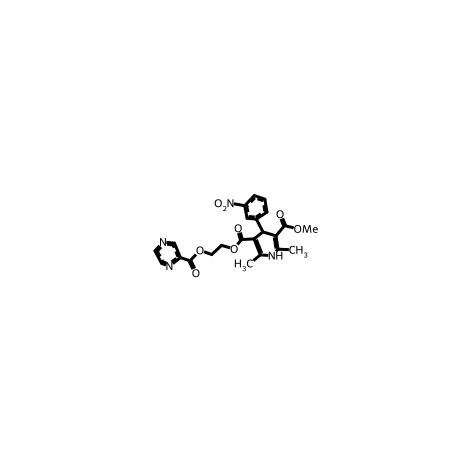 COC(=O)C1=C(C)NC(C)=C(C(=O)OCCOC(=O)c2cnccn2)C1c1cccc([N+](=O)[O-])c1